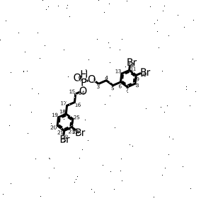 O=[PH](OCCCc1ccc(Br)c(Br)c1)OCCCc1ccc(Br)c(Br)c1